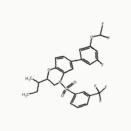 CCC(C)C1CN(S(=O)(=O)c2cccc(C(F)(F)F)c2)c2cc(-c3cc(F)cc(OC(F)F)c3)ccc2O1